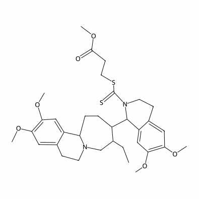 CCC1CN2CCc3cc(OC)c(OC)cc3C2CCC1C1c2cc(OC)c(OC)cc2CCN1C(=S)SCCC(=O)OC